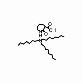 CCCCCCCCN(CCCCCCCC)CCCCCCCC.O=C(O)C1CCCCNC1=O